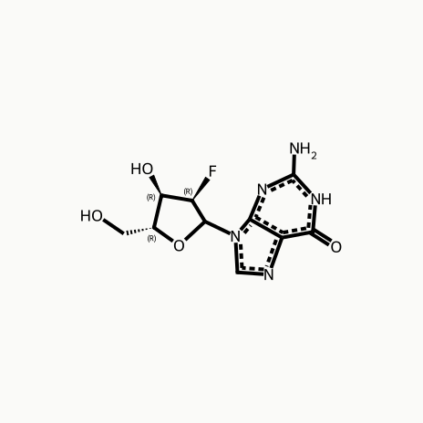 Nc1nc2c(ncn2C2O[C@H](CO)[C@@H](O)[C@H]2F)c(=O)[nH]1